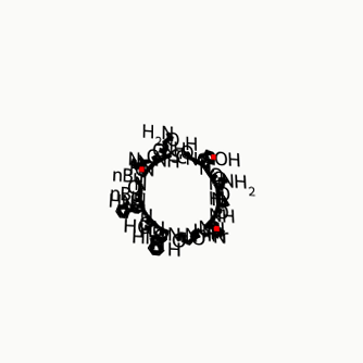 CCCC[C@H]1C(=O)N(C)[C@@H](CCCC)C(=O)N[C@@H](Cc2cccnc2)C(=O)NC(C(=O)NCC(N)=O)CSCC(=O)N[C@@H](Cc2ccc(O)cc2)C(=O)N(C)[C@@H](C)C(=O)NC(CC(N)=O)C(=O)N2CCCC2C(=O)N[C@@H](Cc2cnc[nH]2)C(=O)N[C@@H](CC(C)C)C(=O)N2CCCC2C(=O)N[C@@H](Cc2c[nH]c3ccccc23)C(=O)N[C@@H](CO)C(=O)N[C@@H](Cc2c[nH]c3ccccc23)C(=O)N1C